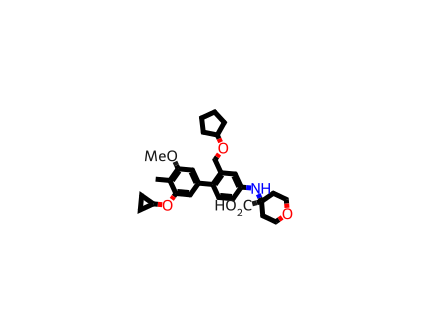 COc1cc(-c2ccc(NC3(C(=O)O)CCOCC3)cc2COC2CCCC2)cc(OC2CC2)c1C